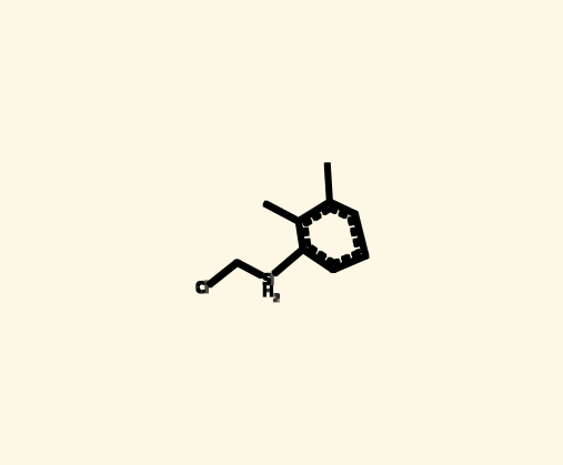 Cc1cccc([SiH2]CCl)c1C